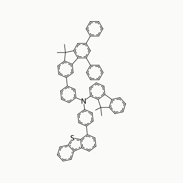 CC1(C)c2ccc(-c3cccc(N(c4ccc(-c5cccc6c5sc5ccccc56)cc4)c4cccc5c4C(C)(C)c4ccccc4-5)c3)cc2-c2c(-c3ccccc3)cc(-c3ccccc3)cc21